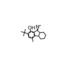 CN=C1c2c(O)c(C(C)(C)C)cc(C)c2C2CCCCC12